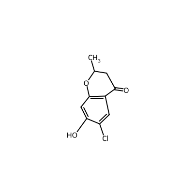 CC1CC(=O)c2cc(Cl)c(O)cc2O1